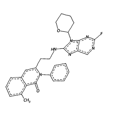 Cc1cccc2cc(CCNc3nc4cnc(F)nc4n3C3CCCCO3)n(-c3ccccc3)c(=O)c12